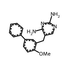 COc1ccc(-c2ccccc2)cc1Cc1cnc(N)nc1N